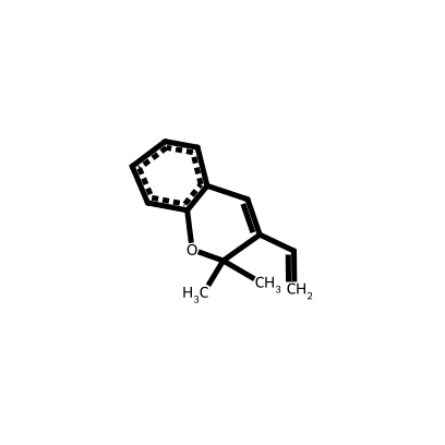 C=CC1=Cc2ccccc2OC1(C)C